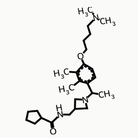 Cc1c(OCCCCN(C)C)ccc(C(C)N2CC(CNC(=O)C3CCCC3)C2)c1C